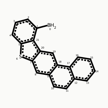 Bc1cccc2sc3cc4ccc5ccccc5c4cc3c12